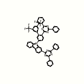 FC(F)(F)c1cc(-c2cc(-n3c4ccccc4c4ccc(-c5nc(-c6ccccc6)nc(-c6ccccc6)n5)cc43)ccc2-c2nc(-c3ccccc3)nc(-c3ccccc3)n2)cc(C(F)(F)F)c1